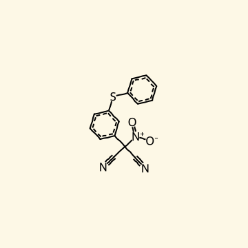 N#CC(C#N)(c1cccc(Sc2ccccc2)c1)[N+](=O)[O-]